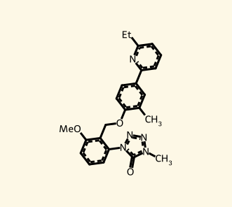 CCc1cccc(-c2ccc(OCc3c(OC)cccc3-n3nnn(C)c3=O)c(C)c2)n1